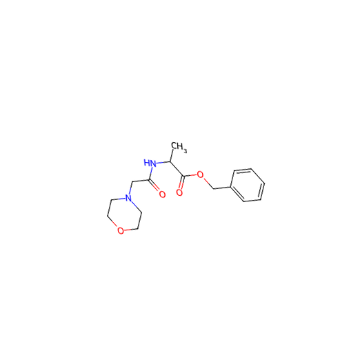 CC(NC(=O)CN1CCOCC1)C(=O)OCc1ccccc1